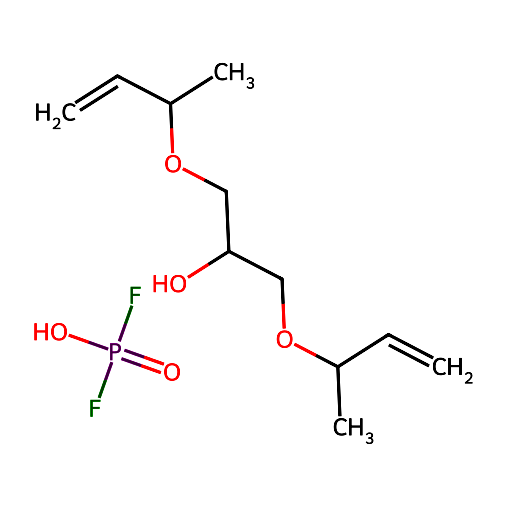 C=CC(C)OCC(O)COC(C)C=C.O=P(O)(F)F